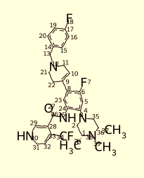 C[C@@H]1CN(c2cc(F)c(C3=CCN(Cc4ccc(F)cc4)CC3)cc2NC(=O)C2=CNCC=C2C(F)(F)F)C[C@H](C)N1C